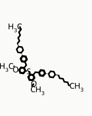 CCCCCCC[C@H]1CC[C@H](c2ccc(Cc3cc(OCC)ccc3Sc3ccc(OCC)cc3Cc3ccc([C@H]4CC[C@H](CCCCCCC)CC4)cc3)cc2)CC1